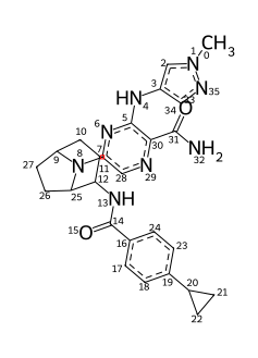 Cn1cc(Nc2nc(N3C4CCC(NC(=O)c5ccc(C6CC6)cc5)C3CC4)cnc2C(N)=O)cn1